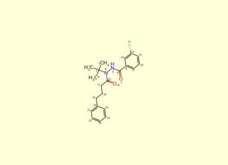 CC(C)(C)N(NC(=O)c1cccc(F)c1)C(=O)CCCc1ccccc1